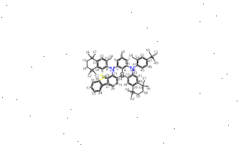 Cc1cc2c3c(c1)N(c1cc4c(cc1C)C(C)(C)CCC4(C)C)c1c(ccc4c1sc1ccccc14)B3c1cc3c(cc1N2c1ccc(C(C)(C)C)cc1C)C(C)(C)CCC3(C)C